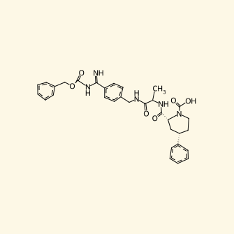 CC(NC(=O)[C@H]1C[C@@H](c2ccccc2)CCN1C(=O)O)C(=O)NCc1ccc(C(=N)NC(=O)OCc2ccccc2)cc1